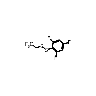 Fc1cc(F)c(SSCC(F)(F)F)c(F)c1